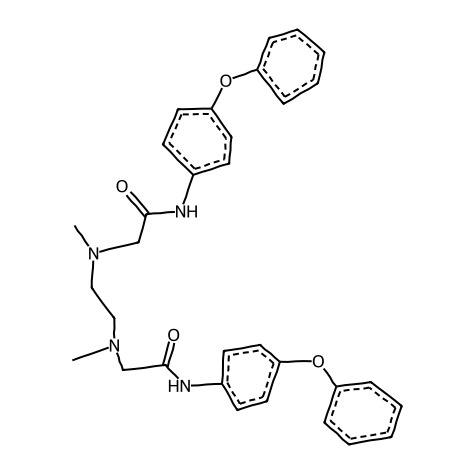 CN(CCN(C)CC(=O)Nc1ccc(Oc2ccccc2)cc1)CC(=O)Nc1ccc(Oc2ccccc2)cc1